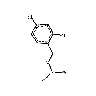 CC(C)N(OCc1ccc(Cl)cc1Cl)C(C)C